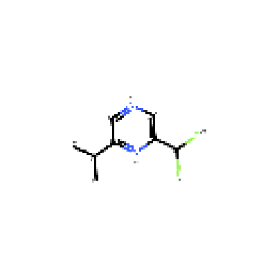 CC(C)c1cncc(C(F)F)n1